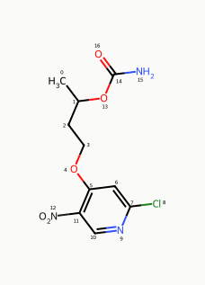 CC(CCOc1cc(Cl)ncc1[N+](=O)[O-])OC(N)=O